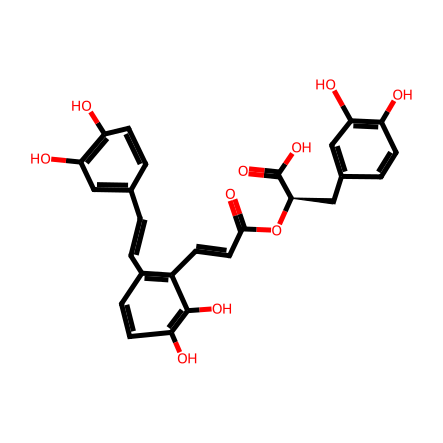 O=C(/C=C/c1c(/C=C/c2ccc(O)c(O)c2)ccc(O)c1O)O[C@H](Cc1ccc(O)c(O)c1)C(=O)O